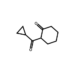 O=C1CCCCC1C(=O)C1CC1